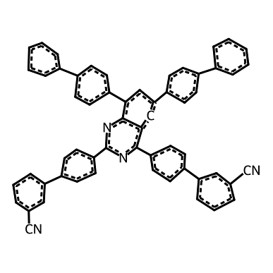 N#Cc1cccc(-c2ccc(-c3nc(-c4ccc(-c5cccc(C#N)c5)cc4)c4cc(-c5ccc(-c6ccccc6)cc5)cc(-c5ccc(-c6ccccc6)cc5)c4n3)cc2)c1